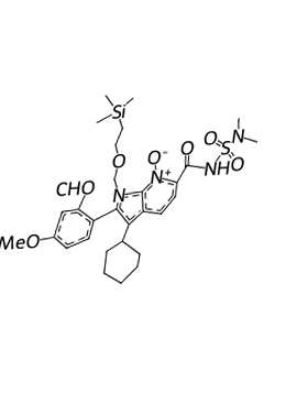 COc1ccc(-c2c(C3CCCCC3)c3ccc(C(=O)NS(=O)(=O)N(C)C)[n+]([O-])c3n2COCC[Si](C)(C)C)c(C=O)c1